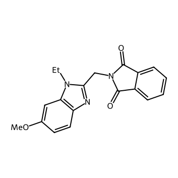 CCn1c(CN2C(=O)c3ccccc3C2=O)nc2ccc(OC)cc21